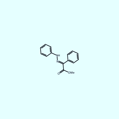 COC(=O)C(=NNc1ccccc1)c1ccccc1